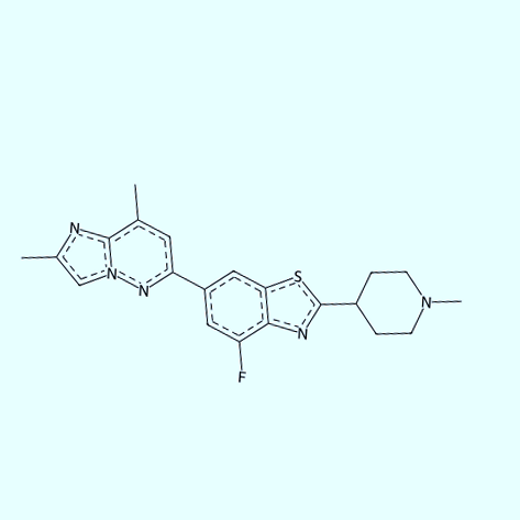 Cc1cn2nc(-c3cc(F)c4nc(C5CCN(C)CC5)sc4c3)cc(C)c2n1